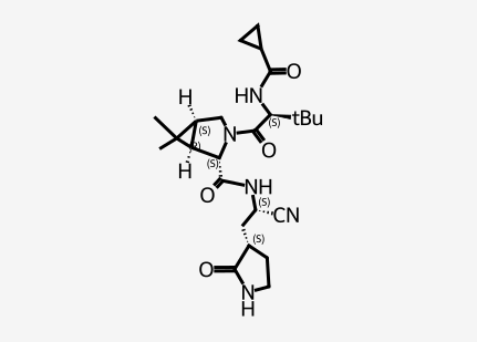 CC(C)(C)[C@H](NC(=O)C1CC1)C(=O)N1C[C@H]2[C@@H]([C@H]1C(=O)N[C@H](C#N)C[C@@H]1CCNC1=O)C2(C)C